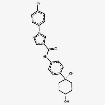 CC(C)c1ccc(-n2cc(C(=O)Nc3ccc([C@]4(C#N)CC[C@@H](O)CC4)nc3)cn2)cc1